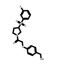 O=C(COc1ccc(CO)cc1)N1CCC(S(=O)(=O)c2cccc(F)c2)C1